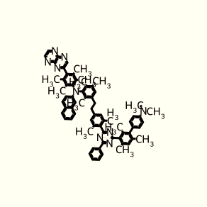 Cc1cc(CCc2cc(C)c(-c3nc(-c4ccccc4)nc(-c4c(C)cc(C)c(-c5ccc(N(C)C)cc5)c4C)n3)c(C)c2)c(C)c(N(c2ccc3ccccc3c2)c2c(C)c(C)c(-c3cnc4nccnc4n3)c(C)c2C)c1C